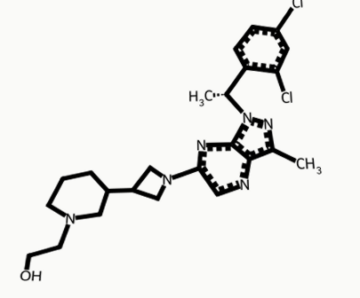 Cc1nn([C@H](C)c2ccc(Cl)cc2Cl)c2nc(N3CC(C4CCCN(CCO)C4)C3)cnc12